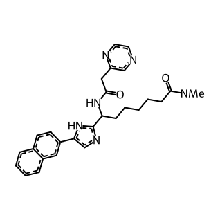 CNC(=O)CCCCCC(NC(=O)Cc1cnccn1)c1ncc(-c2ccc3ccccc3c2)[nH]1